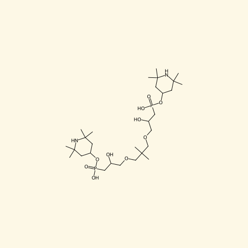 CC(C)(COCC(O)CP(=O)(O)OC1CC(C)(C)NC(C)(C)C1)COCC(O)CP(=O)(O)OC1CC(C)(C)NC(C)(C)C1